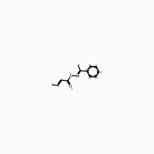 CC=CC(=O)ON=C(C)c1ccccc1